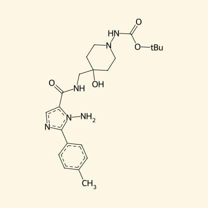 Cc1ccc(-c2ncc(C(=O)NCC3(O)CCN(NC(=O)OC(C)(C)C)CC3)n2N)cc1